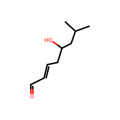 CC(C)CC(O)CC=CC=O